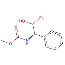 COC(=O)N[C@H](c1ccccc1)C(O)O